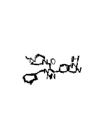 CN1CCN(C(=O)c2c(-c3ccc4[nH]ncc4c3)nnn2Cc2ccccc2)CC1